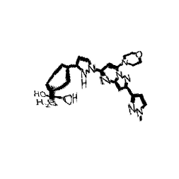 BC(O)(O)c1cccc(C2C=CN(c3cc(N4CCOCC4)n4nc(-c5ccn(C)n5)cc4n3)N2)c1